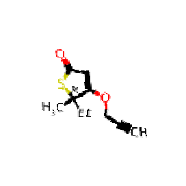 C#CCOC1=CC(=O)S[C@]1(C)CC